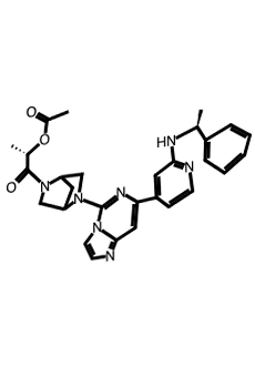 CC(=O)O[C@@H](C)C(=O)N1CC2CC1CN2c1nc(-c2ccnc(N[C@@H](C)c3ccccc3)c2)cc2nccn12